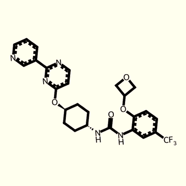 O=C(Nc1cc(C(F)(F)F)ccc1OC1COC1)N[C@H]1CC[C@H](Oc2ccnc(-c3cccnc3)n2)CC1